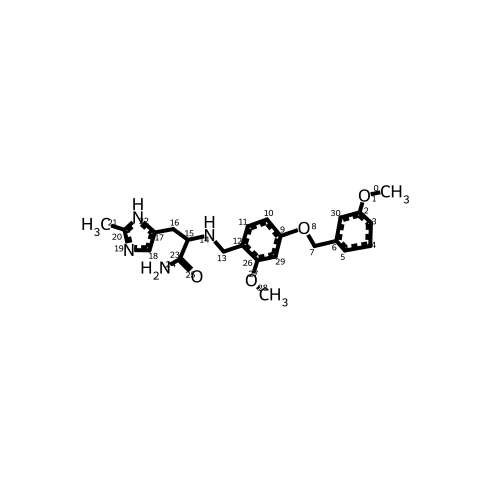 COc1cccc(COc2ccc(CNC(Cc3cnc(C)[nH]3)C(N)=O)c(OC)c2)c1